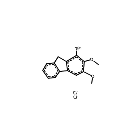 COc1cc2c([c]([Ti+2])c1OC)Cc1ccccc1-2.[Cl-].[Cl-]